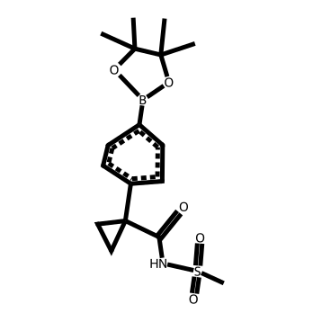 CC1(C)OB(c2ccc(C3(C(=O)NS(C)(=O)=O)CC3)cc2)OC1(C)C